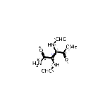 COC(=O)/C(NC=O)=C(\NC=O)C(N)=O